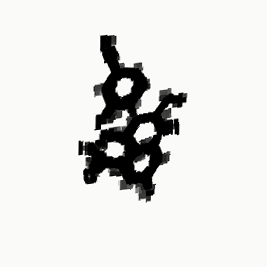 N#Cc1ccc([C@H]2c3n[nH]c(=O)c4cc(F)cc(c34)N[C@@H]2CF)c(F)c1